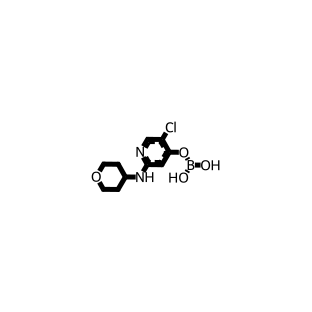 OB(O)Oc1cc(NC2CCOCC2)ncc1Cl